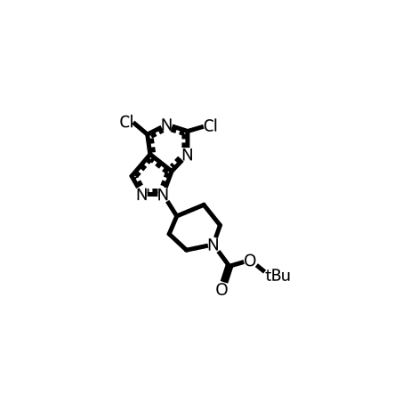 CC(C)(C)OC(=O)N1CCC(n2ncc3c(Cl)nc(Cl)nc32)CC1